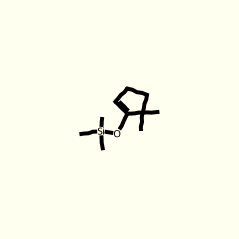 CC1(C)CCC=C1O[Si](C)(C)C